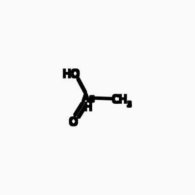 C[AsH](=O)O